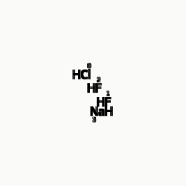 Cl.F.F.[NaH]